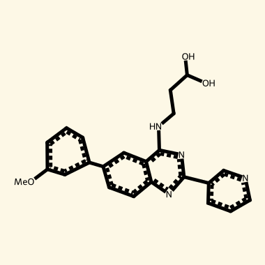 COc1cccc(-c2ccc3nc(-c4cccnc4)nc(NCCC(O)O)c3c2)c1